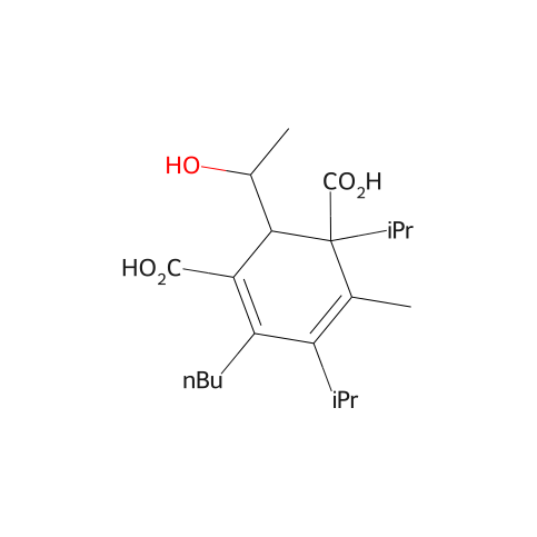 CCCCC1=C(C(=O)O)C(C(C)O)C(C(=O)O)(C(C)C)C(C)=C1C(C)C